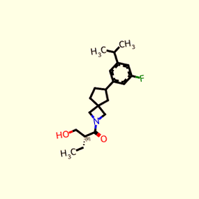 CC[C@H](CO)C(=O)N1CC2(CCC(c3cc(F)cc(C(C)C)c3)C2)C1